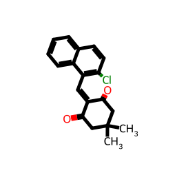 CC1(C)CC(=O)C(=Cc2c(Cl)ccc3ccccc23)C(=O)C1